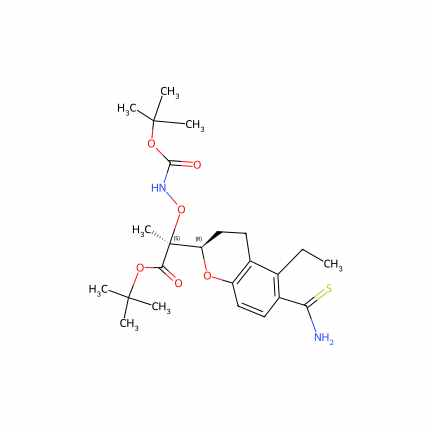 CCc1c(C(N)=S)ccc2c1CC[C@H]([C@](C)(ONC(=O)OC(C)(C)C)C(=O)OC(C)(C)C)O2